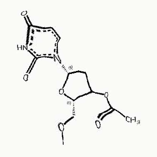 CC(=O)OC1C[C@@H](n2ccc(=O)[nH]c2=O)O[C@H]1COI